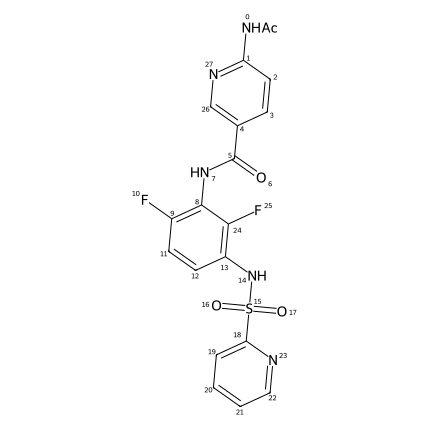 CC(=O)Nc1ccc(C(=O)Nc2c(F)ccc(NS(=O)(=O)c3ccccn3)c2F)cn1